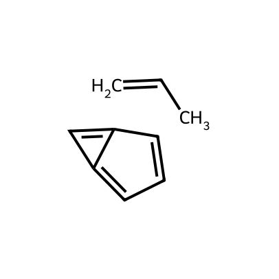 C=CC.c1cc2cc-2c1